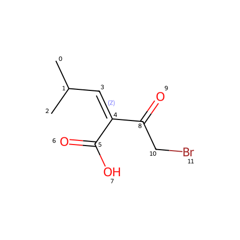 CC(C)/C=C(\C(=O)O)C(=O)CBr